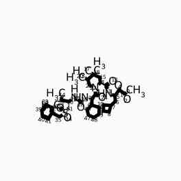 CC(=O)C(=O)C(CC1CCC1)NC(=O)[C@@H]1CC(C)(C)C(C)CN1C(=O)[C@@H](NC(=O)N[C@H](CS(=O)(=O)Cc1ccccc1)C(C)C)C1CCCCC1